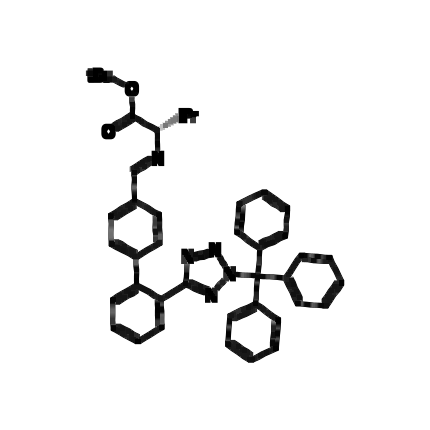 CC(C)[C@H](/N=C/c1ccc(-c2ccccc2-c2nnn(C(c3ccccc3)(c3ccccc3)c3ccccc3)n2)cc1)C(=O)OC(C)(C)C